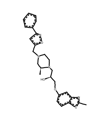 Cc1nc2cc(OC[C@@H](O)CN3CCN(Cc4cc(-c5ccccc5)no4)C[C@@H]3C)ccc2s1